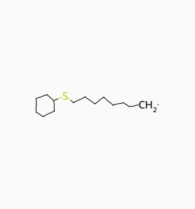 [CH2]CCCCCCCSC1CCCCC1